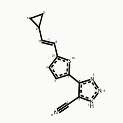 N#Cc1[nH]nnc1-c1ccc(/C=C/C2CC2)s1